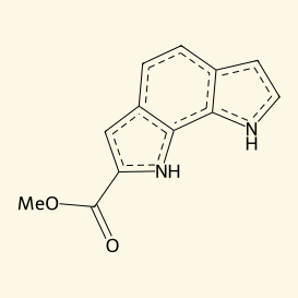 COC(=O)c1cc2ccc3cc[nH]c3c2[nH]1